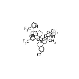 CCC[C@H]1N(C(=O)c2ncccc2C(F)(F)F)CCC[C@]1(Oc1csc(C(F)(F)F)c1)C(=O)N1CCc2cc(Cl)ccc2C1CC(C)(C)C(=O)NS(C)(=O)=O